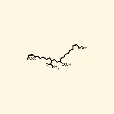 CCCCCCCC/C=C\CCCCCCC(CCC(CCCCCC/C=C\CCCCCCCC)C(=O)O)C(N)=O